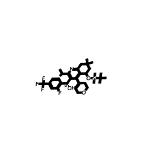 CC(C)c1nc2c(c(C3=CCOCC3)c1[C@H](O)c1ccc(C(F)(F)F)cc1F)C(O[Si](C)(C)C(C)(C)C)CC(C)(C)C2